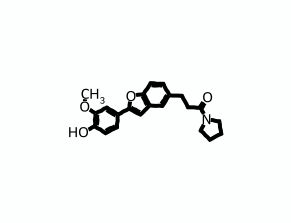 COc1cc(-c2cc3cc(CCC(=O)N4CCCC4)ccc3o2)ccc1O